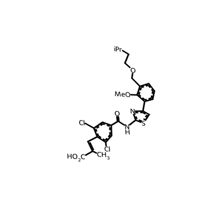 COc1c(COCCC(C)C)cccc1-c1csc(NC(=O)c2cc(Cl)c(C=C(C)C(=O)O)c(Cl)c2)n1